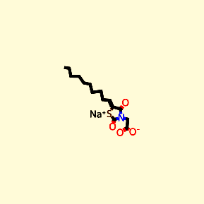 CCCCCCCCC/C=C1\SC(=O)N(CC(=O)[O-])C1=O.[Na+]